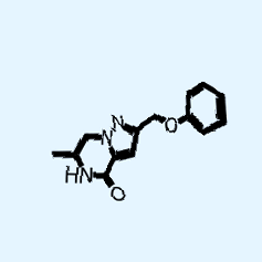 CC1Cn2nc(COc3ccccc3)cc2C(=O)N1